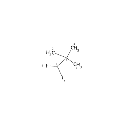 CC(C)(C)[C](I)I